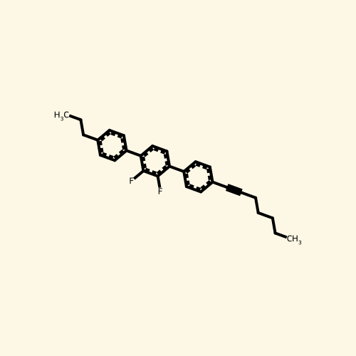 CCCCCC#Cc1ccc(-c2ccc(-c3ccc(CCC)cc3)c(F)c2F)cc1